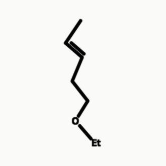 CC=CCCOCC